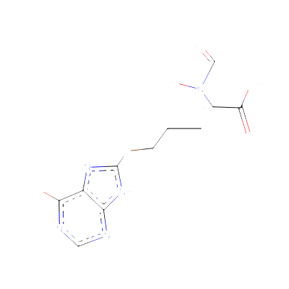 O=CN(O)[C@@H](CCCSc1nc2c(O)ncnc2[nH]1)C(=O)O